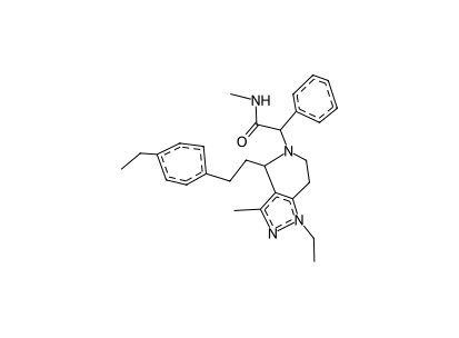 CCc1ccc(CCC2c3c(C)nn(CC)c3CCN2C(C(=O)NC)c2ccccc2)cc1